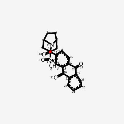 CS(=O)(=O)C1CC2CCC(C1)N2C(=O)c1ccc2c(c1)C(=O)c1ccccc1C2=O